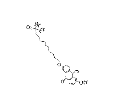 CCC(Br)(CC)CCCCCCCCCCOc1ccc2c(c1)C(=O)c1ccc(O)cc1C2=O